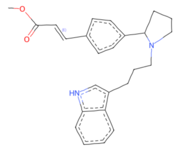 COC(=O)/C=C/c1ccc(C2CCCN2CCCc2c[nH]c3ccccc23)cc1